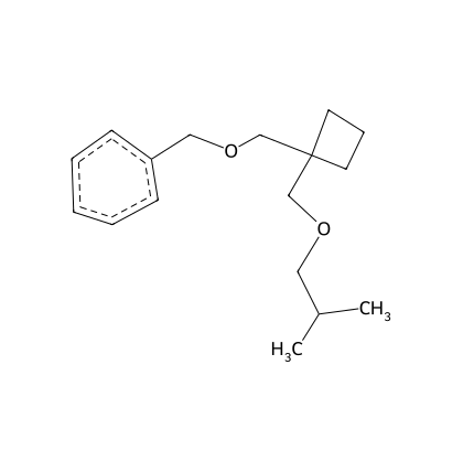 CC(C)COCC1(COCc2ccccc2)CCC1